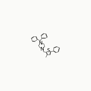 Cc1cc(-c2ccccc2)sc1CN1CCN(C(c2ccccc2)c2ccccc2)CC1